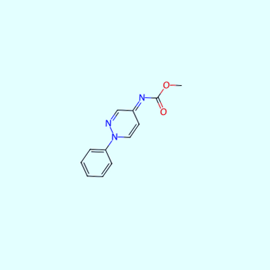 COC(=O)N=c1ccn(-c2ccccc2)nc1